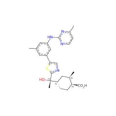 Cc1cc(Nc2nccc(C)n2)cc(-c2cnc([C@@](C)(O)[C@H]3CC[C@H](C(=O)O)[C@H](C)C3)s2)c1